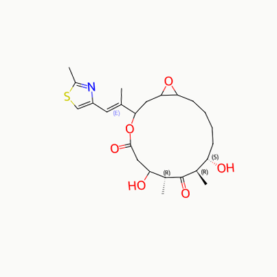 C/C(=C\c1csc(C)n1)C1CC2OC2CCCC[C@H](O)[C@@H](C)C(=O)[C@H](C)C(O)CC(=O)O1